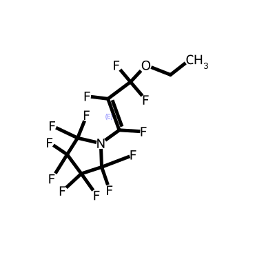 CCOC(F)(F)/C(F)=C(\F)N1C(F)(F)C(F)(F)C(F)(F)C1(F)F